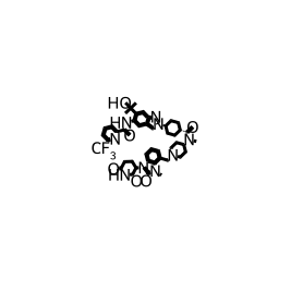 CN(C(=O)[C@H]1CC[C@H](n2cc3cc(NC(=O)c4cccc(C(F)(F)F)n4)c(C(C)(C)O)cc3n2)CC1)C1CCN(Cc2cccc3c2n(C)c(=O)n3C2CCC(=O)NC2=O)CC1